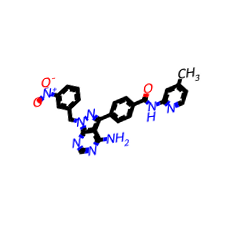 Cc1ccnc(NC(=O)c2ccc(-c3nn(Cc4cccc([N+](=O)[O-])c4)c4ncnc(N)c34)cc2)c1